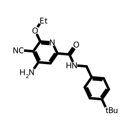 CCOc1nc(C(=O)NCc2ccc(C(C)(C)C)cc2)cc(N)c1C#N